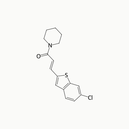 O=C(C=Cc1cc2ccc(Cl)cc2s1)N1CCCCC1